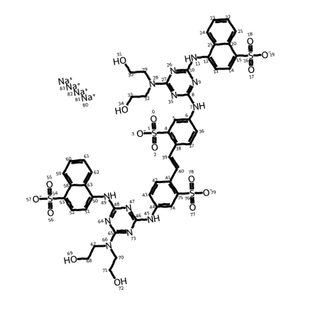 O=S(=O)([O-])c1cc(Nc2nc(Nc3ccc(S(=O)(=O)[O-])c4ccccc34)nc(N(CCO)CCO)n2)ccc1C=Cc1ccc(Nc2nc(Nc3ccc(S(=O)(=O)[O-])c4ccccc34)nc(N(CCO)CCO)n2)cc1S(=O)(=O)[O-].[Na+].[Na+].[Na+].[Na+]